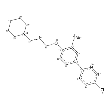 COc1cc(-c2ccc(Cl)nn2)ccc1OCCCN1CCCCC1